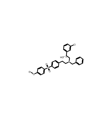 CCOc1ccc(S(=O)(=O)c2ccc(CCN(Cc3ccccc3)C[C@H](O)c3cccc(Cl)c3)cc2)cc1